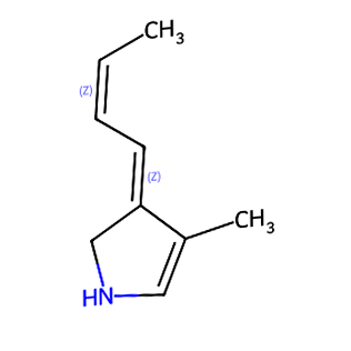 C/C=C\C=C1/CNC=C1C